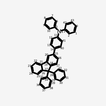 c1ccc(N(c2ccccc2)c2ccc(-c3ccc4c(c3)-c3ccccc3C4(c3ccccc3)c3ccccc3)cc2)cc1